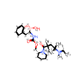 CN(CC(F)(F)F)C(C)(C)CC(C)(C#N)C(=O)N1CCCC[C@@H]1COC(=O)N[C@@H](Cc1ccccc1)B(O)O